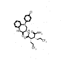 NC(=O)[C@H](CCC(F)(F)F)[C@H](CCC(F)(F)F)C(=O)N[C@H]1CN(c2ccc(Cl)cc2)c2ccccc2NC1=O